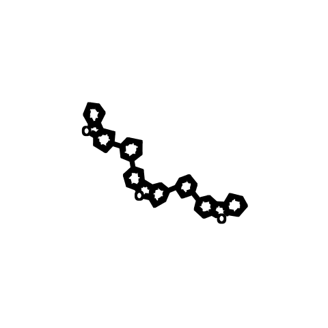 c1cc(-c2ccc3oc4ccccc4c3c2)cc(-c2ccc3oc4ccc(-c5cccc(-c6ccc7oc8ccccc8c7c6)c5)cc4c3c2)c1